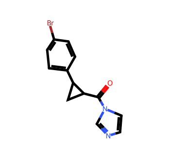 O=C(C1CC1c1ccc(Br)cc1)n1ccnc1